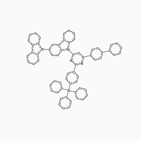 c1ccc(-c2ccc(-c3cc(-n4c5ccccc5c5cc(-n6c7ccccc7c7ccccc76)ccc54)nc(-c4ccc([Si](c5ccccc5)(c5ccccc5)c5ccccc5)cc4)n3)cc2)cc1